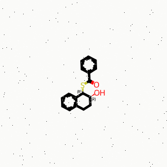 O=C(S[C@@H]1c2ccccc2CC[C@H]1O)c1ccccc1